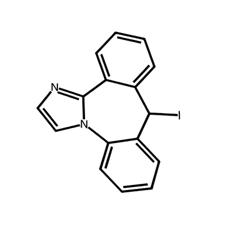 IC1c2ccccc2-c2nccn2-c2ccccc21